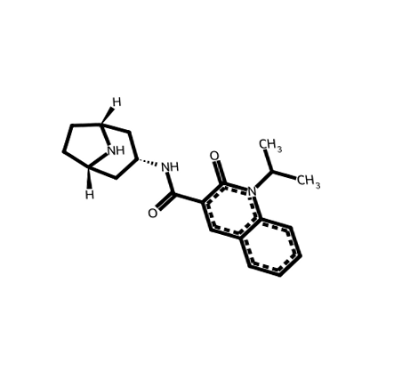 CC(C)n1c(=O)c(C(=O)N[C@H]2C[C@H]3CC[C@@H](C2)N3)cc2ccccc21